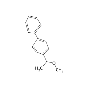 [CH2]C(OC)c1ccc(-c2ccccc2)cc1